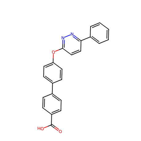 O=C(O)c1ccc(-c2ccc(Oc3ccc(-c4ccccc4)nn3)cc2)cc1